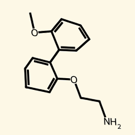 COc1ccccc1-c1ccccc1OCCN